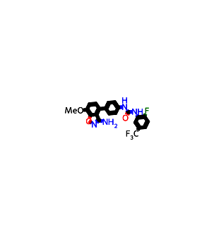 COc1ccc(-c2ccc(NC(=O)Nc3cc(C(F)(F)F)ccc3F)cc2)c2c(N)noc12